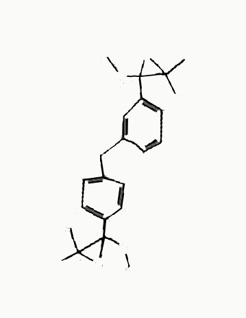 COC1(c2ccc(Cc3cccc(C4(OC)OC4(C)C)c3)cc2)OC1(C)C